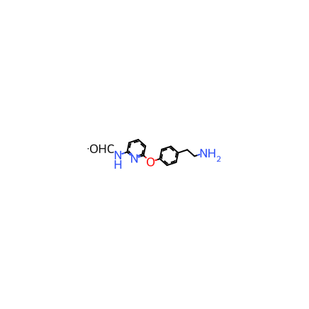 NCCc1ccc(Oc2cccc(N[C]=O)n2)cc1